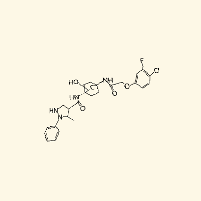 CC1C(C(=O)NC23CCC(NC(=O)COc4ccc(Cl)c(F)c4)(CC2)CC3O)CNN1c1ccccc1